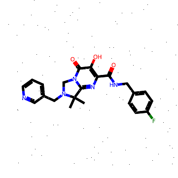 CC1(C)c2nc(C(=O)NCc3ccc(F)cc3)c(O)c(=O)n2CN1Cc1cccnc1